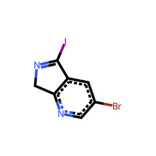 Brc1cnc2c(c1)C(I)=NC2